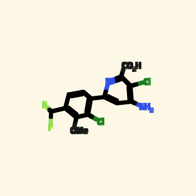 COc1c(C(F)F)ccc(-c2cc(N)c(Cl)c(C(=O)O)n2)c1Cl